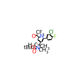 CN(C(=O)OC(C)(C)C)C(C)(C)c1cc(C(=O)C(F)(F)F)nc(-c2ccc(F)c(Cl)c2)c1